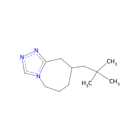 CC(C)(C)CC1CCCn2cnnc2C1